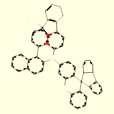 CC1(C)C2=C(CCC=C2)c2ccc(N(c3ccc4c(c3)Oc3ccccc3C43c4ccccc4C4C=CC=CC43)c3ccc4ccccc4c3-c3ccccc3)cc21